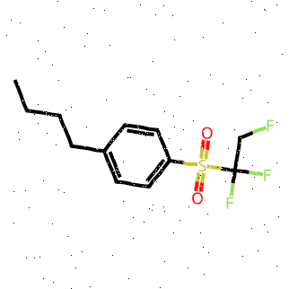 CCCCc1ccc(S(=O)(=O)C(F)(F)CF)cc1